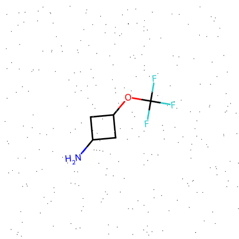 NC1CC(OC(F)(F)F)C1